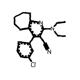 CCN(CC)c1nc2c(c(-c3cccc(Cl)c3)c1C#N)CCCCC2